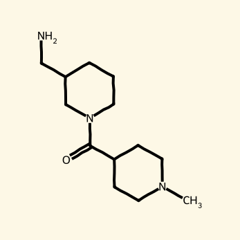 CN1CCC(C(=O)N2CCCC(CN)C2)CC1